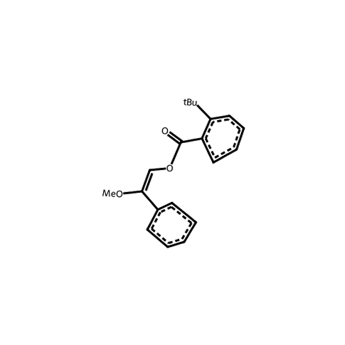 COC(=COC(=O)c1ccccc1C(C)(C)C)c1ccccc1